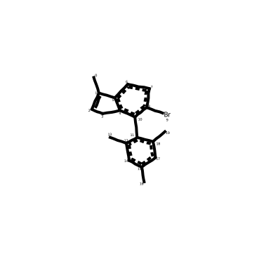 CC1=CCc2c1ccc(Br)c2-c1c(C)cc(C)cc1C